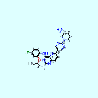 CC(C)Oc1cc(F)ccc1Nc1ncnc2ccc(-c3cnc(N4CCC[C@@H](N)C4)nc3)nc12